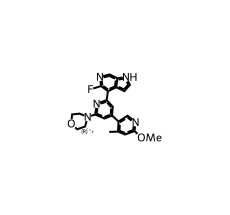 COc1cc(C)c(-c2cc(-c3c(F)ncc4[nH]ccc34)nc(N3CCOC[C@H]3C)c2)cn1